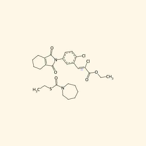 CCOC(=O)/C(Cl)=C/c1cc(N2C(=O)C3=C(CCCC3)C2=O)ccc1Cl.CCSC(=O)N1CCCCCC1